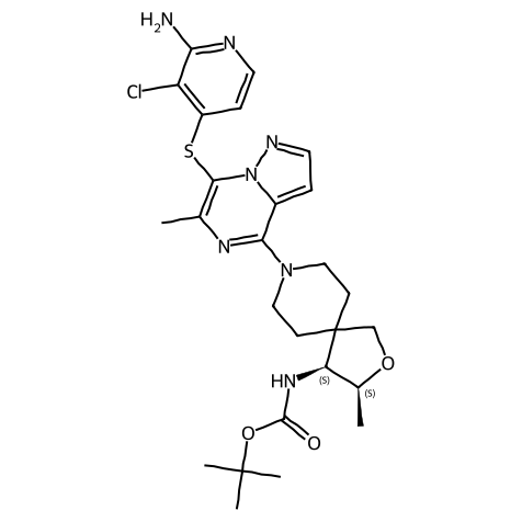 Cc1nc(N2CCC3(CC2)CO[C@@H](C)[C@H]3NC(=O)OC(C)(C)C)c2ccnn2c1Sc1ccnc(N)c1Cl